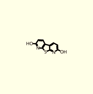 Oc1ccc2c(n1)sc1nc(O)ccc12